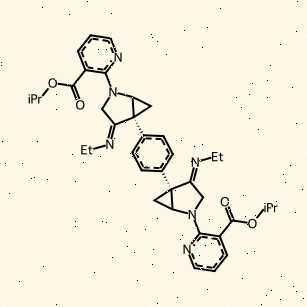 CCN=C1CN(c2ncccc2C(=O)OC(C)C)C2C[C@@]12c1ccc([C@@]23CC2N(c2ncccc2C(=O)OC(C)C)CC3=NCC)cc1